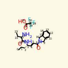 CCC[C@@H](C=CC(=O)N1Cc2ccccc2C1)NC(=O)[C@@H](N)CC.O=C(O)C(F)(F)F